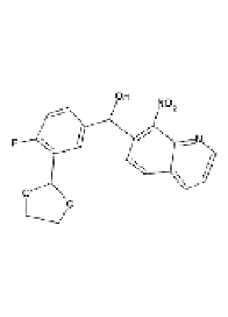 O=[N+]([O-])c1c(C(O)c2ccc(F)c(C3OCCO3)c2)ccc2cccnc12